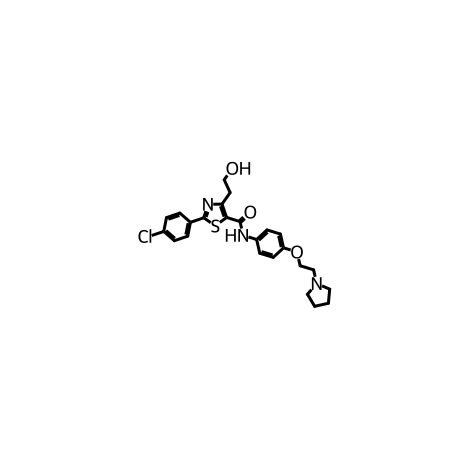 O=C(Nc1ccc(OCCN2CCCC2)cc1)c1sc(-c2ccc(Cl)cc2)nc1CCO